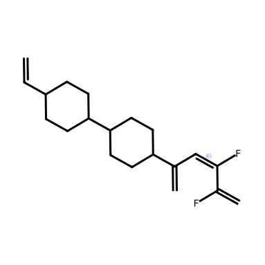 C=CC1CCC(C2CCC(C(=C)/C=C(/F)C(=C)F)CC2)CC1